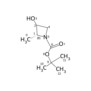 C[C@@H]1C(O)CN1C(=O)OC(C)(C)C